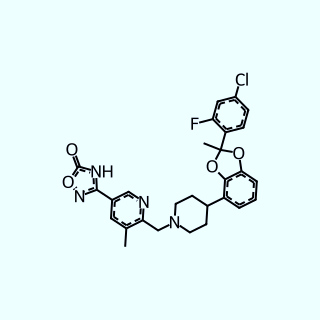 Cc1cc(-c2noc(=O)[nH]2)cnc1CN1CCC(c2cccc3c2OC(C)(c2ccc(Cl)cc2F)O3)CC1